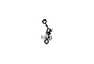 O=C(NC1CCCCC1)c1cc2ncc(C#Cc3ccccc3)cn2n1